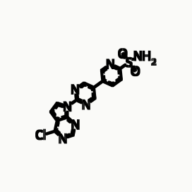 NS(=O)(=O)c1ccc(-c2cnc(-n3ccc4c(Cl)ncnc43)nc2)cn1